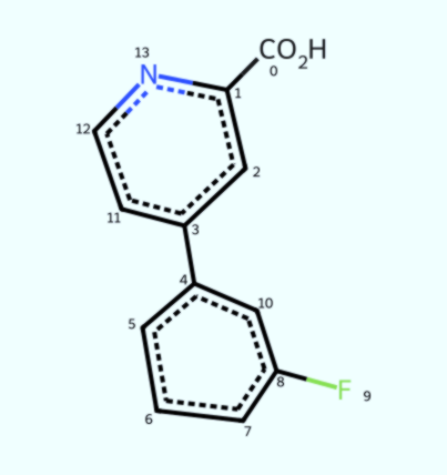 O=C(O)c1cc(-c2cccc(F)c2)ccn1